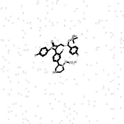 CC(C)(C)[Si](C)(C)O[C@@H](CCC1C(=O)N(c2ccc(F)cc2)C1c1ccc(C2CNCCN2OC(=O)O)cc1F)c1ccc(F)cc1